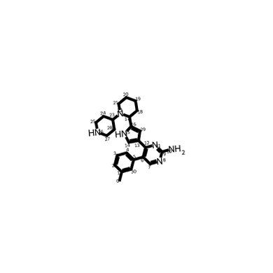 Cc1cccc(-c2cnc(N)nc2-c2c[nH]c(C3CCCCN3C3CCNCC3)c2)c1